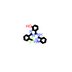 Oc1cccc2c(Nc3n[nH]c4ccccc34)nc(-c3ccccc3C(F)(F)F)nc12